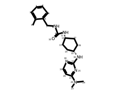 Cc1ccccc1CNC(=O)N[C@H]1CC[C@@H](Nc2nccc(N(C)C)n2)CC1